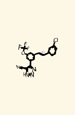 N#Cc1[nH]nnc1-c1cc(/C=C/c2cccc(Cl)c2)cc(OC(F)(F)F)c1